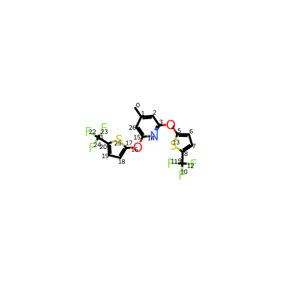 Cc1cc(Oc2ccc(C(F)(F)F)s2)nc(Oc2ccc(C(F)(F)F)s2)c1